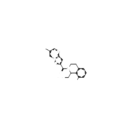 CCC1c2c(F)cccc2CCN1C(=O)c1cc2ncc(Cl)cn2n1